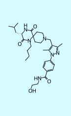 CCCCN1C(=O)[C@H](CC(C)C)NC(=O)C12CCN(Cc1c(C)nn(-c3ccc(C(=O)NCCO)cc3)c1C)CC2